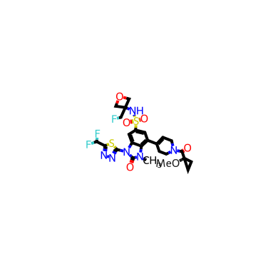 COC1(C(=O)N2CC=C(c3cc(S(=O)(=O)NC4(CF)COC4)cc4c3n(C)c(=O)n4-c3nnc(C(F)F)s3)CC2)CC1